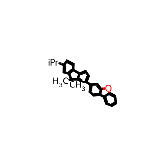 CC(C)c1ccc2c(c1)C(C)(C)c1cc(-c3ccc4c(c3)oc3ccccc34)ccc1-2